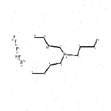 CCCCP(CCCC)CCCC.F.[B+3].[F-].[F-].[F-]